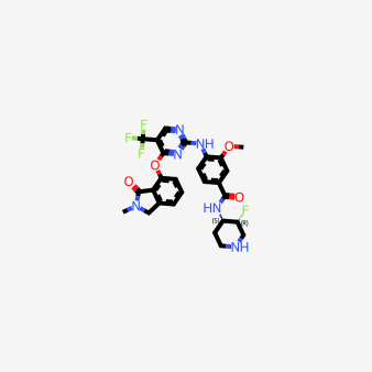 COc1cc(C(=O)N[C@H]2CCNC[C@H]2F)ccc1Nc1ncc(C(F)(F)F)c(Oc2cccc3c2C(=O)N(C)C3)n1